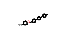 CCCC1C=CC(OCc2ccc(-c3ccc(-c4ccc(C)cc4)cc3)cc2)CC1